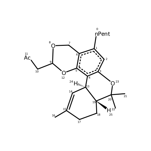 CCCCCc1cc2c(c3c1COC(CC(C)=O)O3)[C@@H]1C=C(C)CC[C@H]1C(C)(C)O2